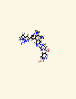 COc1ccc(C(=O)N2CCN(c3ccc(-c4cc(C(=N)/C=C5/CCCN5)cn5ncc(C#N)c45)cn3)CC2)cn1